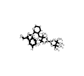 CC1(C)OB(B2OC(C)(C)C(C)(CC3CCCOC3n3nc(C=O)c4cc(I)ccc43)O2)OC1(C)C